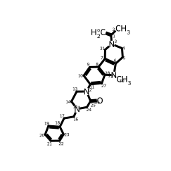 C=C(C)N1CCc2c(c3ccc(N4CCN(CCc5ccccc5)CC4=O)cc3n2C)C1